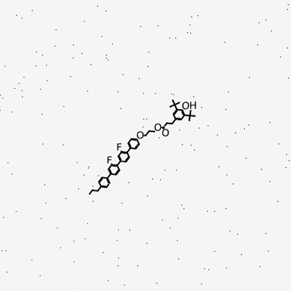 CCCc1ccc(-c2ccc(-c3ccc(-c4ccc(OCCCOC(=O)CCc5cc(C(C)(C)C)c(O)c(C(C)(C)C)c5)cc4)c(F)c3)c(F)c2)cc1